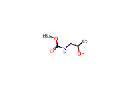 CCC(O)CNC(=O)OC(C)(C)C